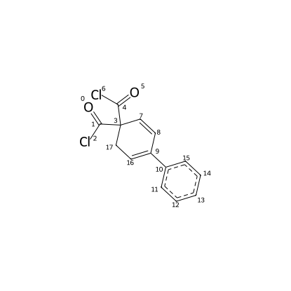 O=C(Cl)C1(C(=O)Cl)C=CC(c2ccccc2)=CC1